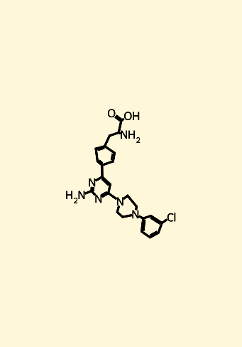 Nc1nc(-c2ccc(C[C@H](N)C(=O)O)cc2)cc(N2CCN(c3cccc(Cl)c3)CC2)n1